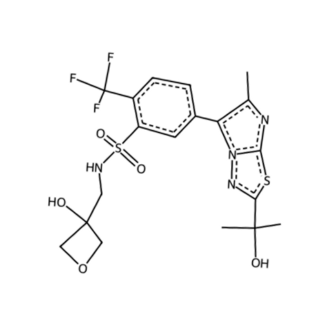 Cc1nc2sc(C(C)(C)O)nn2c1-c1ccc(C(F)(F)F)c(S(=O)(=O)NCC2(O)COC2)c1